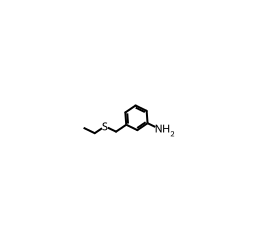 CCSCc1cccc(N)c1